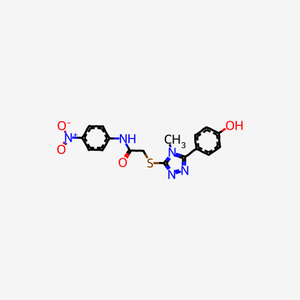 Cn1c(SCC(=O)Nc2ccc([N+](=O)[O-])cc2)nnc1-c1ccc(O)cc1